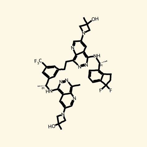 Cc1nnc(N[C@H](C)c2cc(CCc3nnc(N[C@H](C)c4cccc5c4CCC5(F)F)c4cc(N5CC(C)(O)C5)cnc34)cc(C(F)(F)F)c2)c2cc(N3CC(C)(O)C3)cnc12